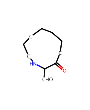 O=CC1NCCCCCCCC1=O